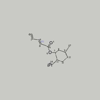 C=C/C=C/C(=O)OC1CC(C)CCC1C(C)C